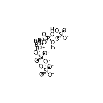 O=P(O)(O)O.[B+3].[B+3].[B+3].[B+3].[O-][Si]([O-])([O-])[O-].[O-][Si]([O-])([O-])[O-].[O-][Si]([O-])([O-])[O-]